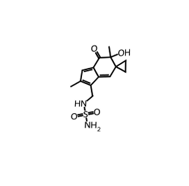 CC1=C(CNS(N)(=O)=O)C2=CC3(CC3)C(C)(O)C(=O)C2=C1